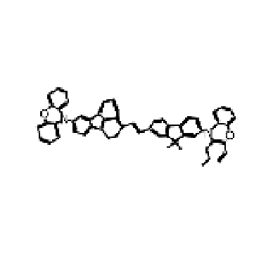 C=CC1=C(CCC)N(c2ccc3c(c2)C(C)(C)c2cc(/C=C/C4=c5cccc6c5=C(CC4)c4ccc(N5c7ccccc7Oc7ccccc75)cc4-6)ccc2-3)c2ccccc2O1